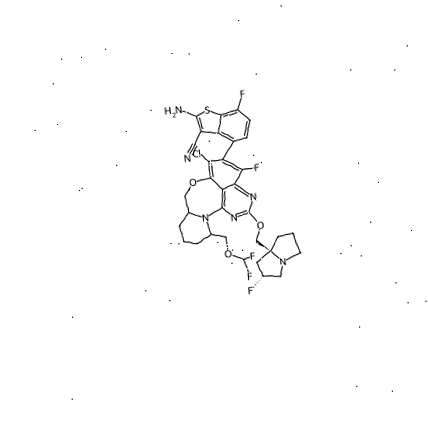 N#Cc1c(N)sc2c(F)ccc(-c3c(Cl)c4c5c(nc(OC[C@@]67CCCN6C[C@H](F)C7)nc5c3F)N3C(CCCC3COC(F)F)CO4)c12